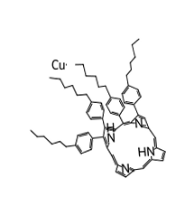 CCCCCCc1ccc(C2=Cc3cc4ccc(cc5nc(cc6[nH]c(c(-c7ccc(CCCCCC)cc7)c2n3)c(-c2ccc(CCCCCC)cc2)c6-c2ccc(CCCCCC)cc2)C=C5)[nH]4)cc1.[Cu]